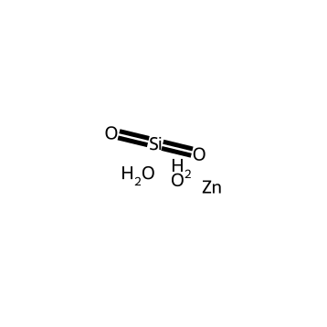 O.O.O=[Si]=O.[Zn]